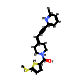 CSc1ccc(C(=O)N2CCC(=CC#Cc3cccc(C)n3)CC2)s1